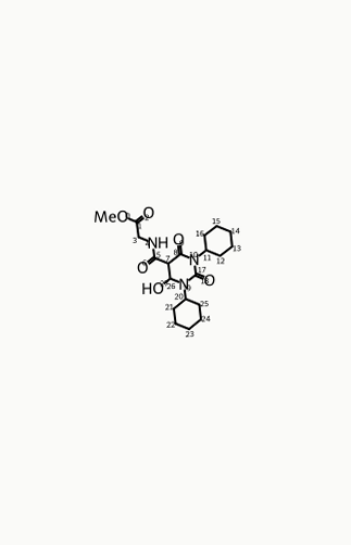 COC(=O)CNC(=O)C1C(=O)N(C2CCCCC2)C(=O)N(C2CCCCC2)C1O